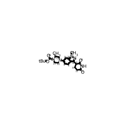 C[C@H]1CN(c2ccc3c(C4CCC(=O)NC4=O)nn(C)c3c2)CCN1C(=O)OC(C)(C)C